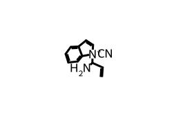 C=CC(N)[N+]1(C#N)C=Cc2ccccc21